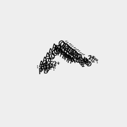 CC(=O)[O-].CC(=O)[O-].CC(=O)[O-].CC(=O)[O-].CC(=O)[O-].CC(=O)[O-].CC(=O)[O-].CC(=O)[O-].CC(=O)[O-].CC(=O)[O-].CC(=O)[O-].CC(=O)[O-].CC(=O)[O-].CC(=O)[O-].CC(=O)[O-].CC(=O)[O-].[Co+2].[Co+2].[Pb+2].[Pb+2].[Pb+2].[Pb+2].[Pb+2].[Pb+2]